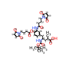 CC(C[C@H](Cc1ccc(OC(=O)CCCN2C(=O)C=CC2=O)c(NC(=O)CCCN2C(=O)C=CC2=O)c1)NC(=O)OC(C)(C)C)C(=O)O